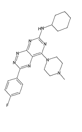 CN1CCN(c2nc(NC3CCCCC3)nc3nnc(-c4ccc(F)cc4)nc23)CC1